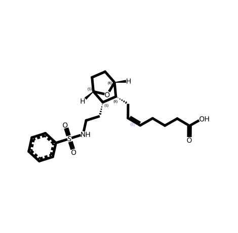 O=C(O)CCC/C=C\C[C@@H]1[C@H](CCNS(=O)(=O)c2ccccc2)[C@@H]2CC[C@H]1O2